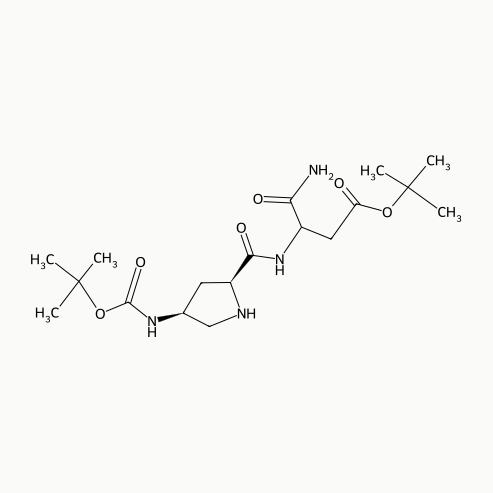 CC(C)(C)OC(=O)CC(NC(=O)[C@@H]1C[C@H](NC(=O)OC(C)(C)C)CN1)C(N)=O